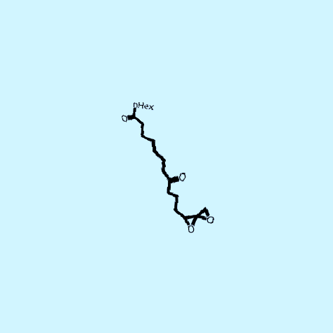 CCCCCCC(=O)CCCCCCC(=O)CCCC1OC12CO2